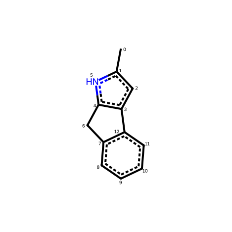 Cc1cc2c([nH]1)Cc1ccccc1-2